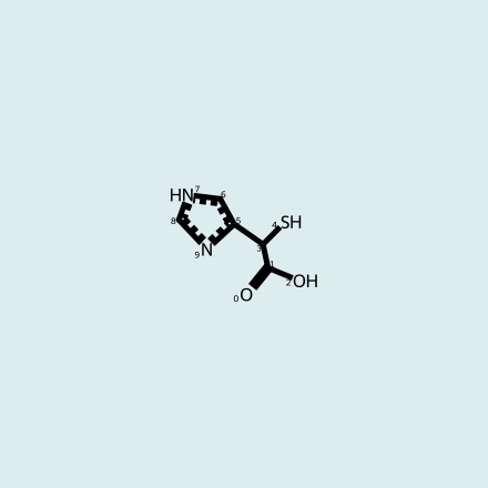 O=C(O)C(S)c1c[nH]cn1